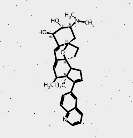 CC1C=C2C=C3[C@@H](O)[C@H](O)[C@@H](N(C)C)C[C@]34CC[C@]2(O4)C2CC=C(c3ccc4ncccc4c3)[C@@]12C